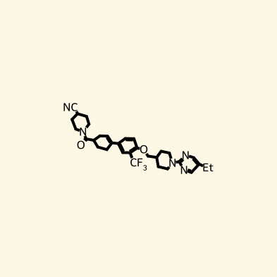 CCc1cnc(N2CCC(COc3ccc(C4=CCC(C(=O)N5CCC(C#N)CC5)CC4)cc3C(F)(F)F)CC2)nc1